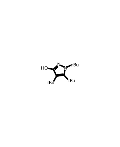 CCCCn1nc(O)c(C(C)(C)C)c1C(C)(C)C